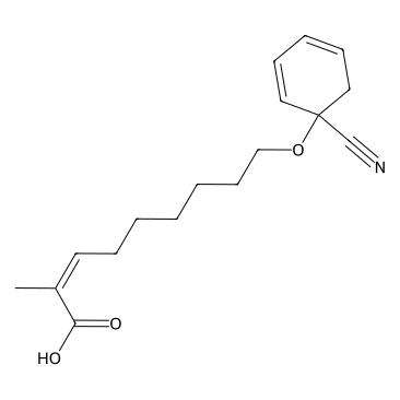 CC(=CCCCCCCOC1(C#N)C=CC=CC1)C(=O)O